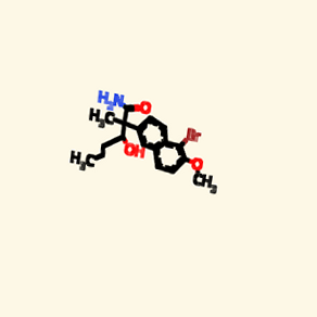 CCCC(O)C(C)(C(N)=O)c1ccc2c(Br)c(OC)ccc2c1